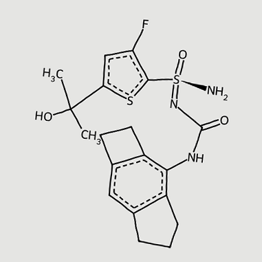 CC(C)(O)c1cc(F)c([S@](N)(=O)=NC(=O)Nc2c3c(cc4c2CC4)CCC3)s1